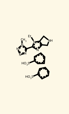 CCn1c(-c2nnnn2C)nc2c1CNC2.O=S(=O)(O)c1ccccc1.O=S(=O)(O)c1ccccc1